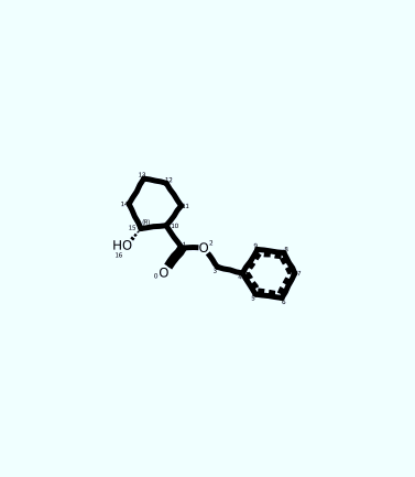 O=C(OCc1ccccc1)C1CCCC[C@H]1O